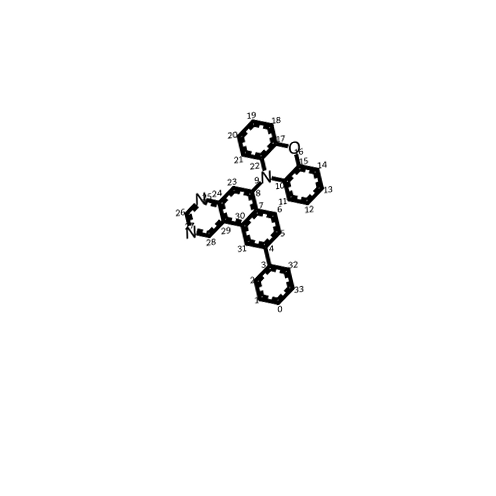 c1ccc(-c2ccc3c(N4c5ccccc5Oc5ccccc54)cc4ncncc4c3c2)cc1